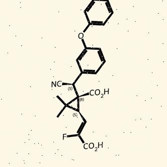 CC1(C)[C@H](C=C(F)C(=O)O)[C@@]1(C(=O)O)[C@@H](C#N)c1cccc(Oc2ccccc2)c1